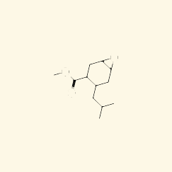 COC(=O)C1CC2OC2CC1CC(C)C